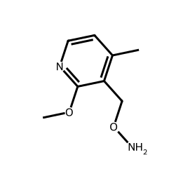 COc1nccc(C)c1CON